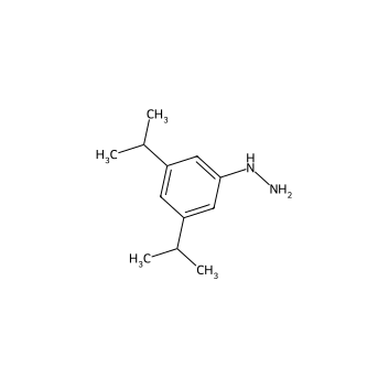 CC(C)c1cc(NN)cc(C(C)C)c1